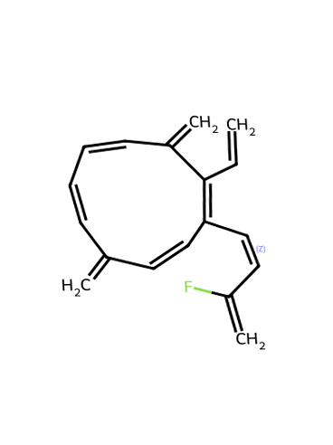 C=Cc1c(/C=C\C(=C)F)ccc(=C)ccccc1=C